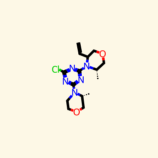 C=CC1COC[C@H](C)N1c1nc(Cl)nc(N2CCOC[C@H]2C)n1